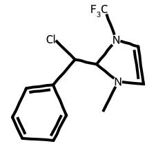 CN1C=CN(C(F)(F)F)C1C(Cl)c1ccccc1